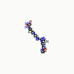 N#Cc1cnn2cc(-c3cnn(C4CCC(N5CCC(c6ccc(N[C@H]7CCC(=O)NC7=O)cc6F)CC5)CC4)c3)nc(-c3ccc(N4CCC5(CC4)OCc4cccnc45)nc3)c12